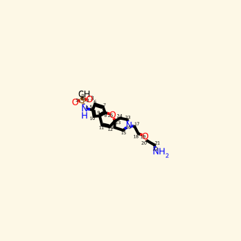 CS(=O)(=O)Nc1ccc2c(c1)C=CC1(CCN(CCOCCN)CC1)O2